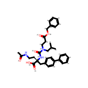 CC(=O)NCC[C@](Cc1ccc(-c2ccccc2)cc1)(NC(=O)N(CCC(=O)OCc1ccccc1)CC(C)C)C(=O)O